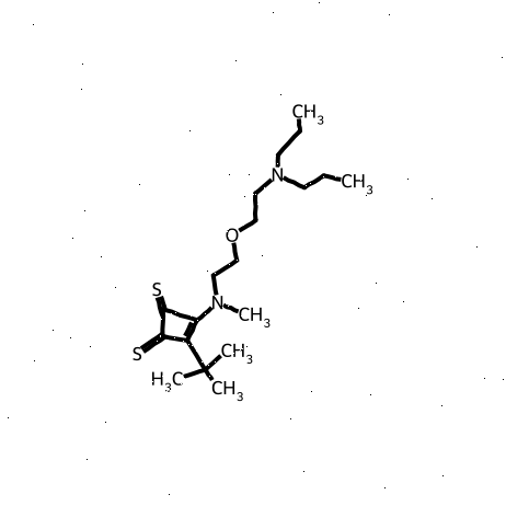 CCCN(CCC)CCOCCN(C)c1c(C(C)(C)C)c(=S)c1=S